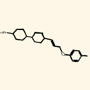 CCCC1CCC(C2CCC(/C=C/COc3ccc(C)cc3)CC2)CC1